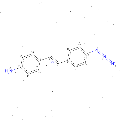 [N-]=[N+]=Nc1ccc(/C=C/c2ccc(N)cc2)cc1